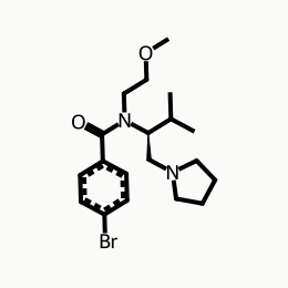 COCCN(C(=O)c1ccc(Br)cc1)[C@H](CN1CCCC1)C(C)C